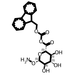 NO[C@@H]1O[C@H](C(=O)OC(=O)OCC2c3ccccc3-c3ccccc32)[C@@H](O)[C@H](O)[C@H]1O